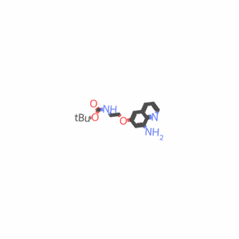 CC(C)(C)OC(=O)NCCOc1cc(N)c2ncccc2c1